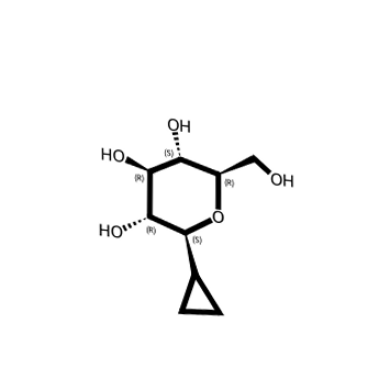 OC[C@H]1O[C@@H](C2CC2)[C@H](O)[C@@H](O)[C@@H]1O